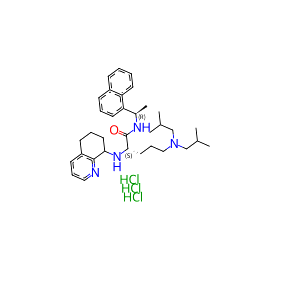 CC(C)CN(CCC[C@H](NC1CCCc2cccnc21)C(=O)N[C@H](C)c1cccc2ccccc12)CC(C)C.Cl.Cl.Cl